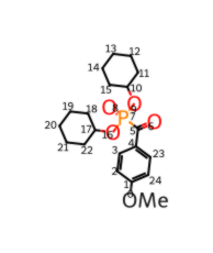 COc1ccc(C(=O)P(=O)(OC2CCCCC2)OC2CCCCC2)cc1